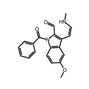 CN/C=C\c1c(C=O)n(C(=O)c2ccccc2)c2ccc(OC)cc12